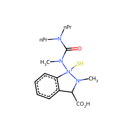 CCCN(CCC)C(=O)N(C)[N+]1(S)c2ccccc2C(C(=O)O)N1C